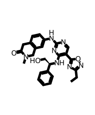 CCc1noc(-c2cnc(Nc3ccc4c(c3)CN(C)C(=O)C4)nc2N[C@H](CO)c2ccccc2)n1